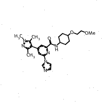 COCCOC1CCC(NC(=O)c2cc(-c3c(C)nn(C)c3C)cc(-n3ccnc3)n2)CC1